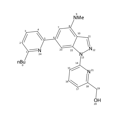 CCCCc1cccc(-c2cc(NC)c3cnn(-c4cccc(CO)n4)c3c2)n1